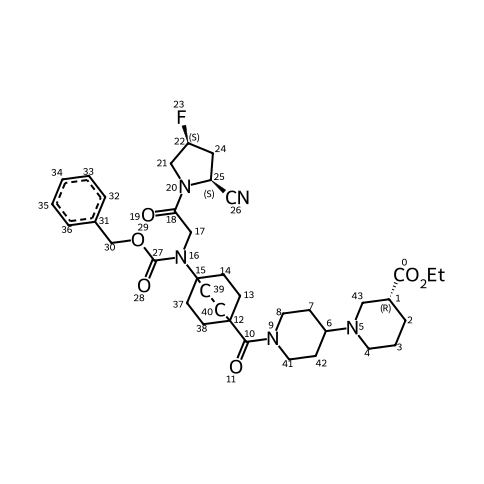 CCOC(=O)[C@@H]1CCCN(C2CCN(C(=O)C34CCC(N(CC(=O)N5C[C@@H](F)C[C@H]5C#N)C(=O)OCc5ccccc5)(CC3)CC4)CC2)C1